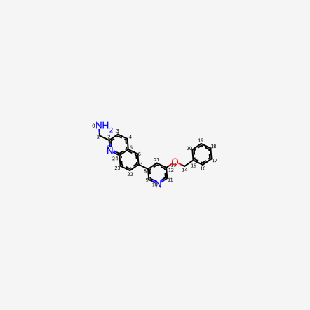 NCc1ccc2cc(-c3cncc(OCc4ccccc4)c3)ccc2n1